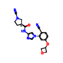 N#Cc1ccc(OC2COC2)cc1-n1cnc(NC(=O)[C@H]2CCN(C#N)C2)c1